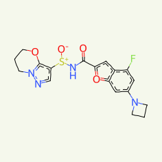 O=C(N[S+]([O-])c1cnn2c1OCCC2)c1cc2c(F)cc(N3CCC3)cc2o1